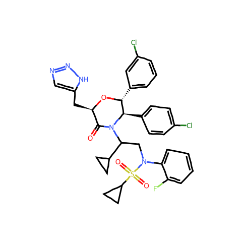 O=C1[C@@H](Cc2cnn[nH]2)O[C@H](c2cccc(Cl)c2)[C@@H](c2ccc(Cl)cc2)N1C(CN(c1ccccc1F)S(=O)(=O)C1CC1)C1CC1